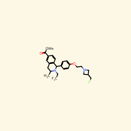 COC(=O)c1ccc2c(c1)CC(C)N(CC(F)(F)F)C2c1ccc(OCCN2CC(CF)C2)cc1